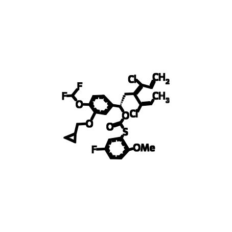 C=C/C(Cl)=C(C[C@H](OC(=O)Sc1cc(F)ccc1OC)c1ccc(OC(F)F)c(OCC2CC2)c1)\C(Cl)=C/C